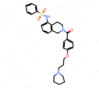 O=C(c1ccc(OCCCN2CCCCC2)cc1)N1CCc2c(cccc2NS(=O)(=O)c2ccccc2)C1